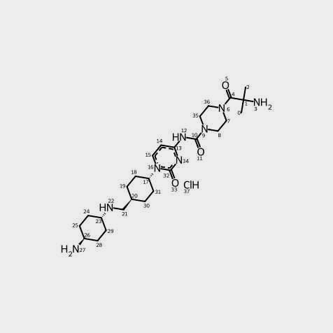 CC(C)(N)C(=O)N1CCN(C(=O)Nc2ccn([C@H]3CC[C@H](CN[C@H]4CC[C@H](N)CC4)CC3)c(=O)n2)CC1.Cl